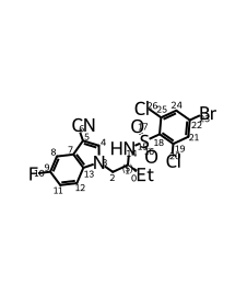 CC[C@@H](Cn1cc(C#N)c2cc(F)ccc21)NS(=O)(=O)c1c(Cl)cc(Br)cc1Cl